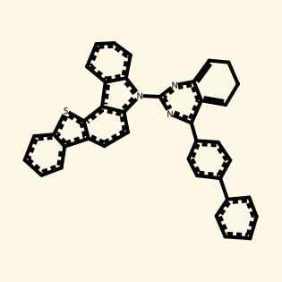 C1=c2nc(-n3c4ccccc4c4c5sc6ccccc6c5ccc43)nc(-c3ccc(-c4ccccc4)cc3)c2=CCC1